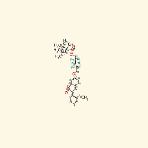 CCc1ccccc1-c1cc2ccc(OCC(F)(F)C(F)(F)C(F)(F)COC(=O)C(C)(CC(C)C)C(C)(C)C)cc2oc1=O